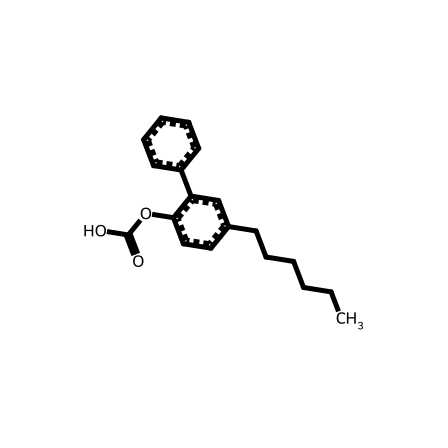 CCCCCCc1ccc(OC(=O)O)c(-c2ccccc2)c1